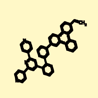 C=Cc1ccc2c3ccc(-c4cccc(-c5ccccc5-c5cc(-c6ccncc6)nc(-c6ccncc6)c5)c4)cc3c3ccccc3c2c1